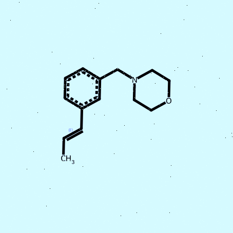 C/C=C/c1cccc(CN2CCOCC2)c1